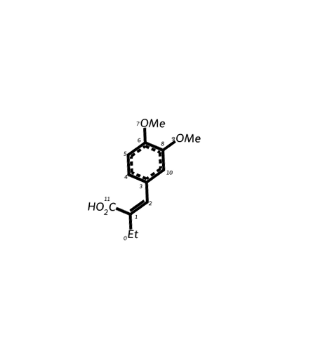 CCC(=Cc1ccc(OC)c(OC)c1)C(=O)O